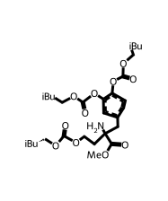 CCC(C)COC(=O)Oc1ccc(CC(N)(CCOC(=O)OC[C@@H](C)CC)C(=O)OC)cc1OC(=O)OCC(C)CC